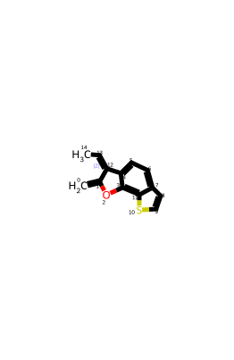 C=c1oc2c(ccc3ccsc32)/c1=C/C